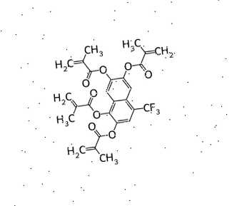 C=C(C)C(=O)Oc1cc2c(C(F)(F)F)cc(OC(=O)C(=C)C)c(OC(=O)C(=C)C)c2cc1OC(=O)C(=C)C